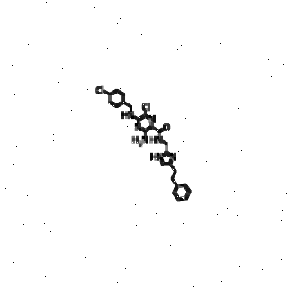 Nc1nc(NCc2ccc(Cl)cc2)c(Cl)nc1C(=O)NCc1nc(CCc2ccccc2)c[nH]1